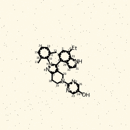 CCc1ccc(-c2c3c(nn2-c2c(C)cccc2C)CCN(c2ncc(O)cn2)C3)c2cc[nH]c12